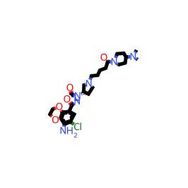 CN(C)C1CCN(C(=O)CCCCN2CC[C@H](n3nc(-c4cc(Cl)c(N)c5c4OCCO5)oc3=O)C2)CC1